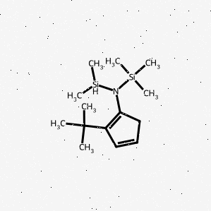 C[SiH](C)N(C1=C(C(C)(C)C)C=CC1)[Si](C)(C)C